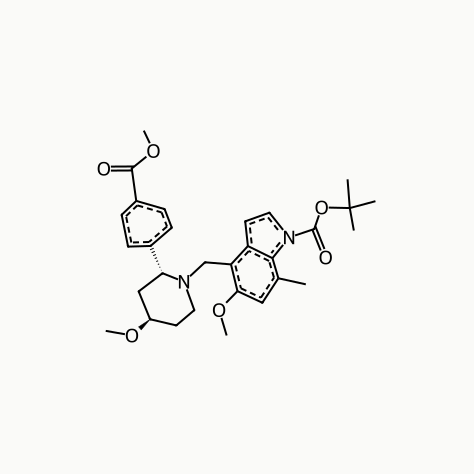 COC(=O)c1ccc([C@H]2C[C@H](OC)CCN2Cc2c(OC)cc(C)c3c2ccn3C(=O)OC(C)(C)C)cc1